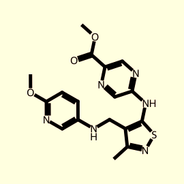 COC(=O)c1cnc(Nc2snc(C)c2CNc2ccc(OC)nc2)cn1